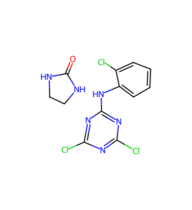 Clc1nc(Cl)nc(Nc2ccccc2Cl)n1.O=C1NCCN1